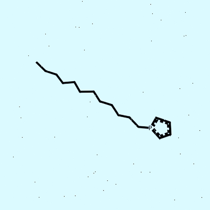 CCCCCCCCCCCCp1[c]ccc1